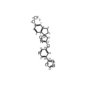 FC(F)(F)Oc1ccc2c(c1)CC[C@]21CC(Oc2cncc(-c3nnco3)c2)=NO1